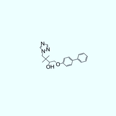 CC(C)(Cn1cncn1)C(O)COc1ccc(-c2ccccc2)cc1